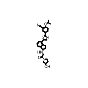 CC(C)Oc1ccc(-c2ncc(-c3cccc4c3CC[C@@H]4NCC(=O)N3CCC(O)C3)s2)cc1C#N